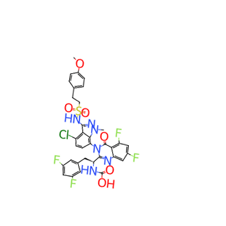 COc1ccc(CCS(=O)(=O)Nc2nn(C)c3c(-n4c([C@H](Cc5cc(F)cc(F)c5)NC(=O)O)nc5cc(F)cc(F)c5c4=O)ccc(Cl)c23)cc1